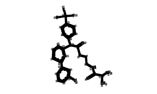 C[C@H](N)C(=O)NCCOC(=O)N(c1ccc(C(F)(F)F)cc1)c1nccc(-c2cccc(Cl)c2)n1